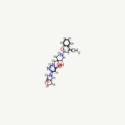 C[C@H](CC(=O)N1CCC(O)(Cn2cnc(N3CC4CCOC4C3)cc2=O)CC1)c1ccccc1